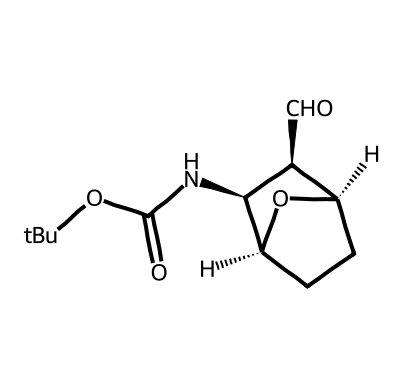 CC(C)(C)OC(=O)N[C@H]1[C@@H](C=O)[C@H]2CC[C@@H]1O2